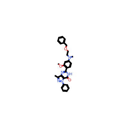 COc1cc(N(C)CCOCc2ccccc2)ccc1-c1nc2c(C)nn(-c3ccccc3)c2c(=O)[nH]1